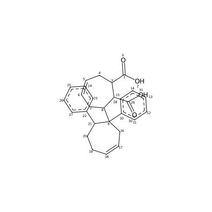 O=C(O)C1CC=CCC(C2(c3ccccc3)CC=CCCC2c2ccccc2)C1C(=O)O